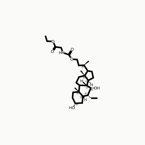 CCOC(=O)CNC(=O)OCC[C@@H](C)C1CC[C@H]2[C@H]3C(CC[C@]12C)[C@@]1(C)CC[C@@H](O)C[C@H]1[C@@H](CC)[C@H]3O